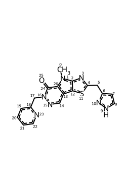 Cn1c2nc(Cc3cc[nH]n3)sc2c2cnn(Cc3ccccn3)c(=O)c21